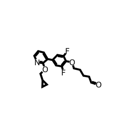 O=CCCCCOc1c(F)cc(-c2cccnc2OCC2CC2)cc1F